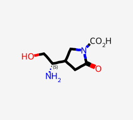 N[C@H](CO)C1CC(=O)N(C(=O)O)C1